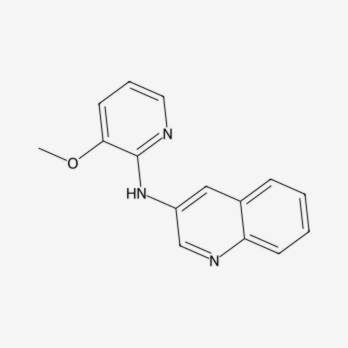 COc1cccnc1Nc1cnc2ccccc2c1